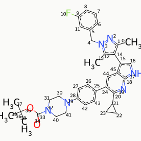 Cc1nn(Cc2cccc(F)c2)c(C)c1-c1c[nH]c2nc(C3CC3)c(-c3ccc(N4CCN(C(=O)OC(C)(C)C)CC4)cc3)cc12